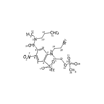 CCS(=O)(=O)c1cc([N+](=O)[O-])c(C(=O)N(C)CCC=O)cc1N(CCBr)CCOS(C)(=O)=O